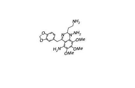 COc1c(N)c2c(c(OC)c1OC)N(N)C(CCN)N=C2Cc1ccc2c(c1)OCO2